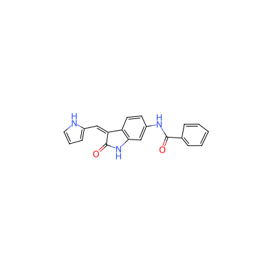 O=C1Nc2cc(NC(=O)c3ccccc3)ccc2/C1=C/c1ccc[nH]1